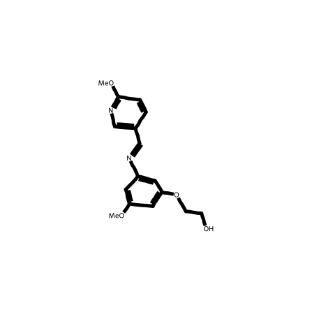 COc1cc(/N=C/c2ccc(OC)nc2)cc(OCCO)c1